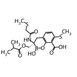 CSCC(=O)N[C@@]1(COC(=O)C(C)C)Cc2ccc(SC)c(C(=O)O)c2OB1O